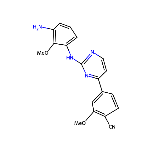 COc1cc(-c2ccnc(Nc3cccc(N)c3OC)n2)ccc1C#N